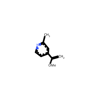 C=C(OC)c1ccnc(C)c1